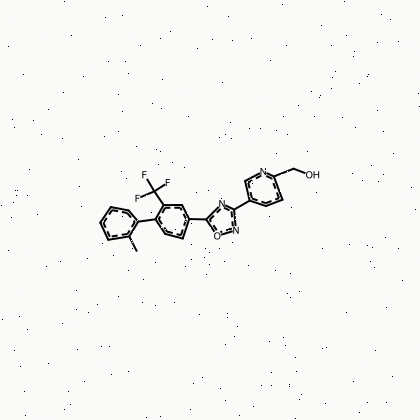 Cc1ccccc1-c1ccc(-c2nc(-c3ccc(CO)nc3)no2)cc1C(F)(F)F